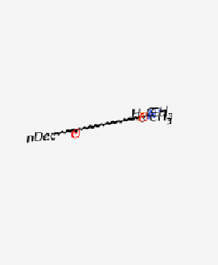 CCCCCCCCCCCCCCCCCC(=O)CCCCCCCCCCCCCCCCCCCCCC[P-]OCC[N+](C)(C)C